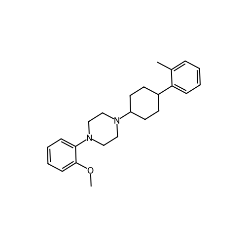 COc1ccccc1N1CCN(C2CCC(c3ccccc3C)CC2)CC1